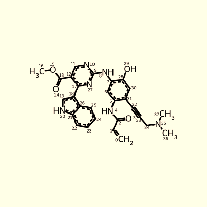 C=CC(=O)Nc1cc(Nc2ncc(C(=O)OC)c(-c3c[nH]c4ccccc34)n2)c(O)cc1C#CCN(C)C